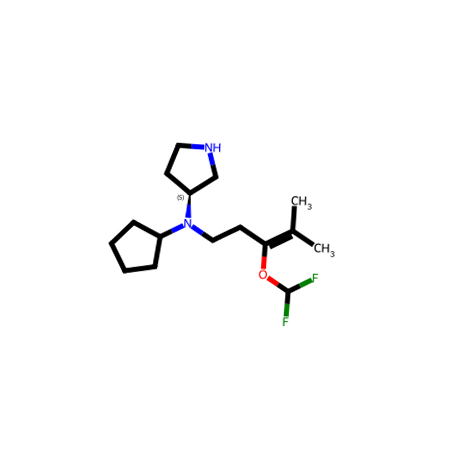 CC(C)=C(CCN(C1CCCC1)[C@H]1CCNC1)OC(F)F